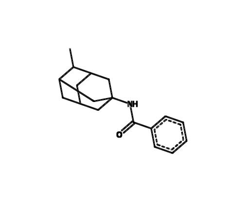 CC1C2CC3CC1CC(NC(=O)c1ccccc1)(C3)C2